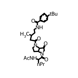 CCCC(NC(C)=O)C(=O)N1CC(=O)C2C1CCN2C(=O)CC(C)CCNC(=O)c1ccc(C(C)(C)C)cc1